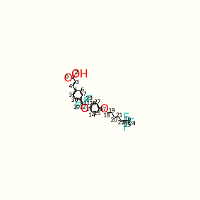 O=C(O)C=Cc1ccc(C(F)(F)Oc2ccc(OCCCCCC(F)(F)F)cc2F)cc1